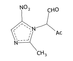 CC(=O)C(C=O)n1c([N+](=O)[O-])cnc1C